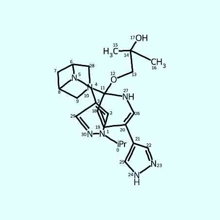 CC(C)n1cc(CN2C3CC2CN(C2(OCC(C)(C)O)C=CC(c4cn[nH]c4)=CN2)C3)cn1